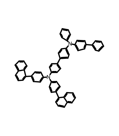 c1ccc(-c2ccc(N(c3ccccc3)c3ccc(-c4ccc(N(c5ccc(-c6cccc7ccccc67)cc5)c5ccc(-c6cccc7ccccc67)cc5)cc4)cc3)cc2)cc1